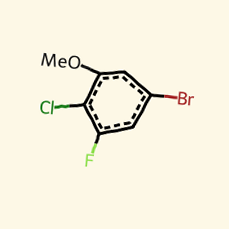 COc1cc(Br)cc(F)c1Cl